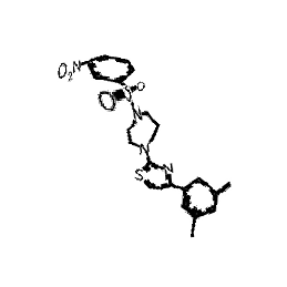 Cc1cc(C)cc(-c2csc(N3CCN(S(=O)(=O)c4cccc([N+](=O)[O-])c4)CC3)n2)c1